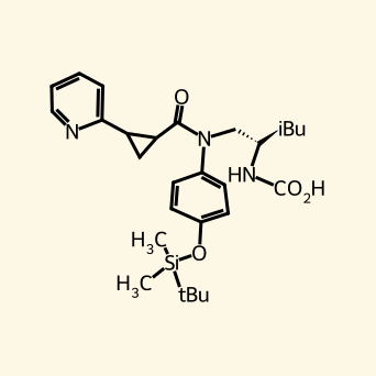 CC[C@H](C)[C@@H](CN(C(=O)C1CC1c1ccccn1)c1ccc(O[Si](C)(C)C(C)(C)C)cc1)NC(=O)O